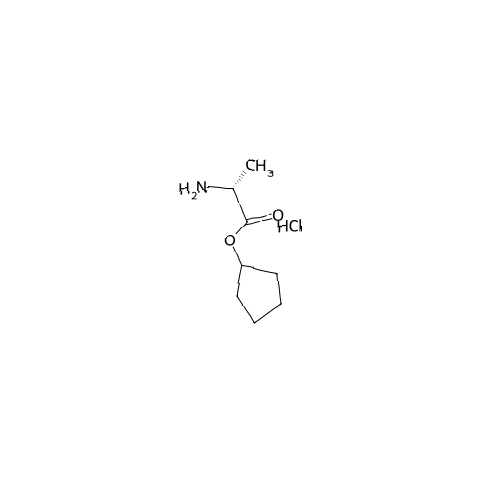 C[C@@H](N)C(=O)OC1CCCC1.Cl